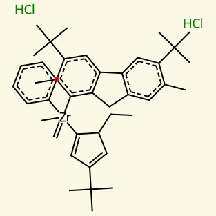 Cl.Cl.[CH2]=[Zr]([CH3])([C]1=CC(C(C)(C)C)=CC1CC)([c]1ccccc1)[c]1c(C)c(C(C)(C)C)cc2c1Cc1cc(C)c(C(C)(C)C)cc1-2